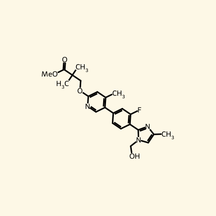 COC(=O)C(C)(C)COc1cc(C)c(-c2ccc(-c3nc(C)cn3CO)c(F)c2)cn1